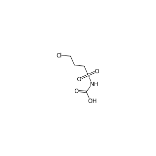 O=C(O)NS(=O)(=O)CCCCl